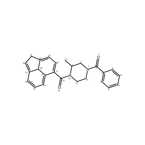 CC1CN(C(=O)c2ccccc2)CCN1C(=O)C1=CC=C2CC=C3C=CC=C1C32